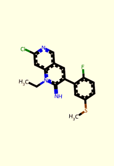 CCn1c(=N)c(-c2cc(SC)ccc2F)cc2cnc(Cl)cc21